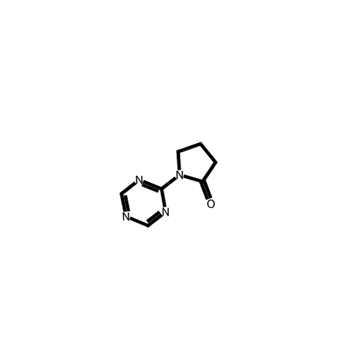 O=C1CCCN1c1ncncn1